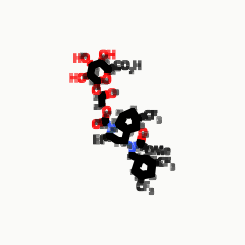 CCC1C[C@H](N(Cc2cc(C(F)(F)F)cc(C(F)(F)F)c2)C(=O)OC)c2cc(C(F)(F)F)ccc2N1C(=O)OCC(=O)OC1OC(C(=O)O)C(O)C(O)C1O